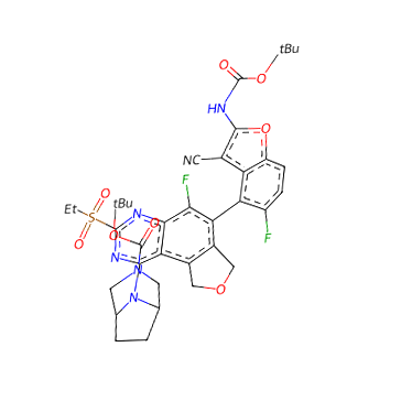 CCS(=O)(=O)c1nc(N2C3CCC2CN(C(=O)OC(C)(C)C)C3)c2c3c(c(-c4c(F)ccc5oc(NC(=O)OC(C)(C)C)c(C#N)c45)c(F)c2n1)COC3